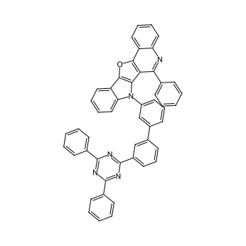 c1ccc(-c2nc(-c3ccccc3)nc(-c3cccc(-c4cccc(-n5c6ccccc6c6oc7c8ccccc8nc(-c8ccccc8)c7c65)c4)c3)n2)cc1